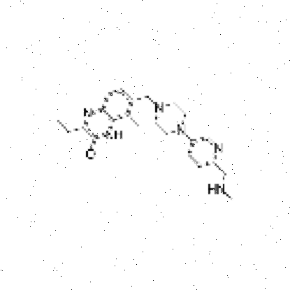 CCc1nc2ccc(CN3CCN(c4ccc(CNC)nc4)CC3)c(C)c2[nH]c1=O